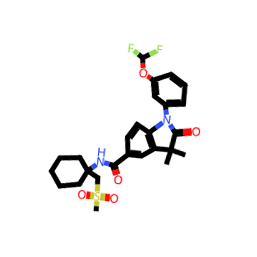 CC1(C)C(=O)N(c2cccc(OC(F)F)c2)c2ccc(C(=O)NC3(CS(C)(=O)=O)CCCCC3)cc21